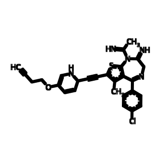 C#CCCOC1=CNC(C#Cc2sc3c(c2C)C(c2ccc(Cl)cc2)=NCC(=N)N3C(C)=N)C=C1